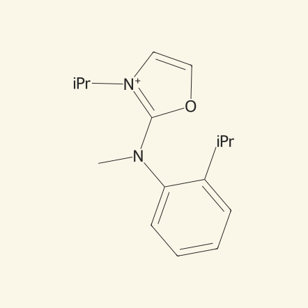 CC(C)c1ccccc1N(C)c1occ[n+]1C(C)C